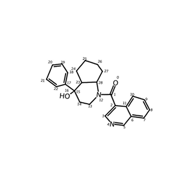 O=C(c1cncc2ccccc12)N1CCC(O)(c2ccccc2)C2CCCCC21